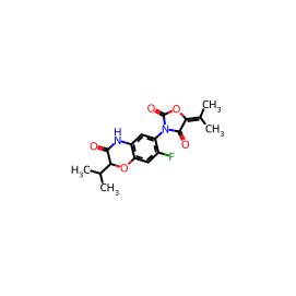 CC(C)=C1OC(=O)N(c2cc3c(cc2F)OC(C(C)C)C(=O)N3)C1=O